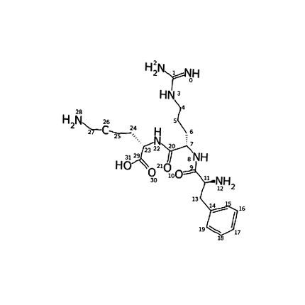 N=C(N)NCCC[C@H](NC(=O)[C@@H](N)Cc1ccccc1)C(=O)N[C@@H](CCCCN)C(=O)O